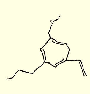 C=Cc1cc(CCC)cc(SC)c1